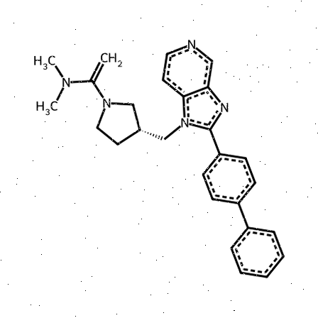 C=C(N(C)C)N1CC[C@@H](Cn2c(-c3ccc(-c4ccccc4)cc3)nc3cnccc32)C1